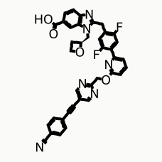 N#Cc1ccc(C#Cc2cnc(COc3cccc(-c4cc(F)c(Cc5nc6ccc(C(=O)O)cc6n5C[C@@H]5CCO5)cc4F)n3)nc2)cc1